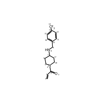 C=CC(=O)N1CCC(NCc2ccc(C(F)(F)F)cc2)CC1